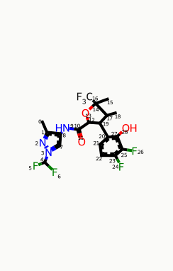 Cc1nn(C(F)F)cc1NC(=O)C1OC(C)(C(F)(F)F)C(C)C1c1ccc(F)c(F)c1O